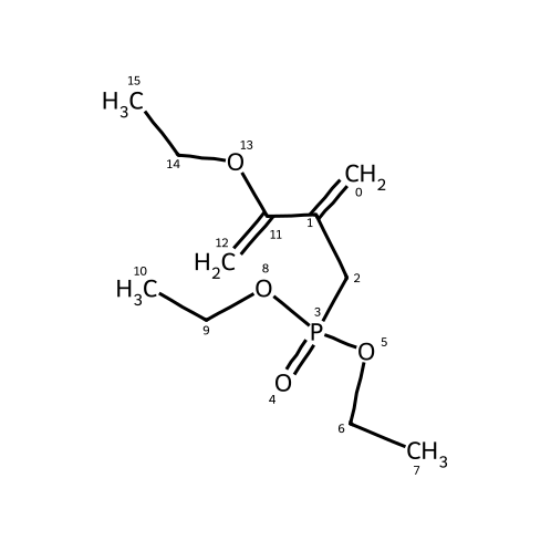 C=C(CP(=O)(OCC)OCC)C(=C)OCC